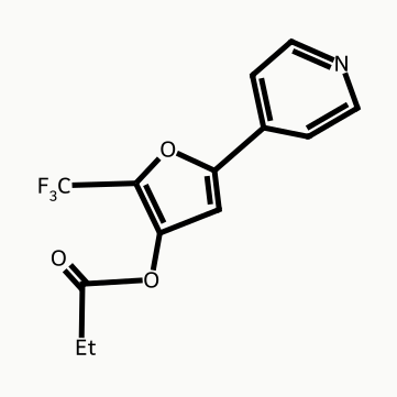 CCC(=O)Oc1cc(-c2ccncc2)oc1C(F)(F)F